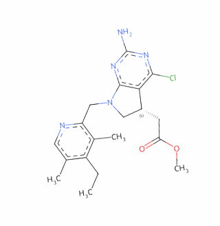 CCc1c(C)cnc(CN2C[C@@H](CC(=O)OC)c3c(Cl)nc(N)nc32)c1C